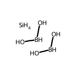 OBO.OBO.[SiH4]